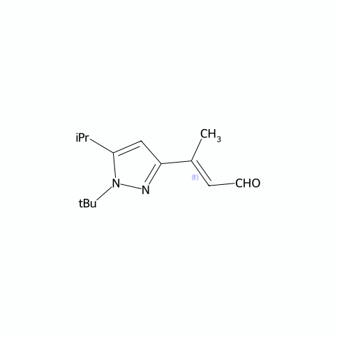 C/C(=C\C=O)c1cc(C(C)C)n(C(C)(C)C)n1